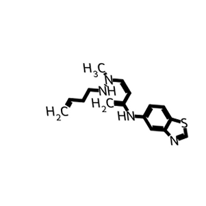 C=CCCNN(C)/C=C\C(=C)Nc1ccc2scnc2c1